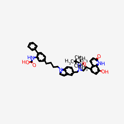 CC(C)(C)[Si](C)(C)OC(CNCc1ccc2c(ccn2CCCCc2ccc(-c3ccccc3)c(NC(=O)O)c2)c1)c1ccc(O)c2[nH]c(=O)ccc12